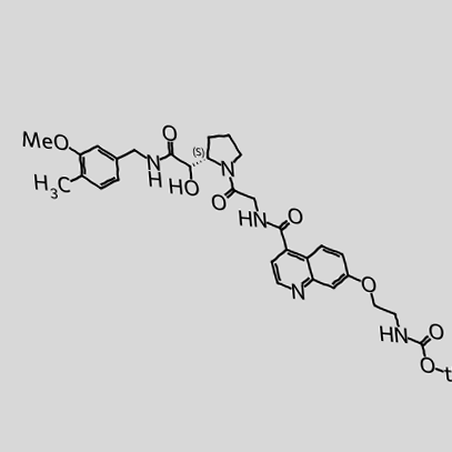 COc1cc(CNC(=O)C(O)[C@@H]2CCCN2C(=O)CNC(=O)c2ccnc3cc(OCCNC(=O)OC(C)(C)C)ccc23)ccc1C